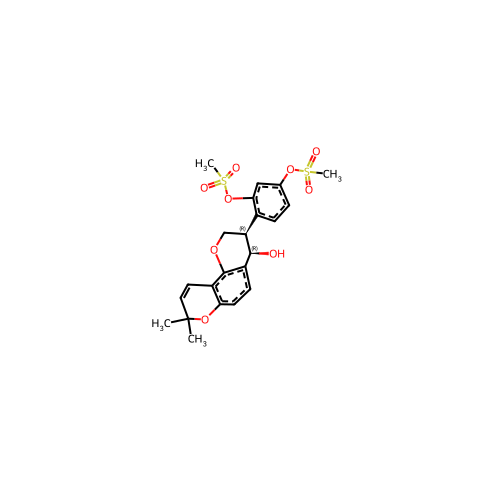 CC1(C)C=Cc2c(ccc3c2OC[C@@H](c2ccc(OS(C)(=O)=O)cc2OS(C)(=O)=O)[C@H]3O)O1